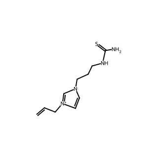 C=CC[n+]1ccn(CCCNC(N)=S)c1